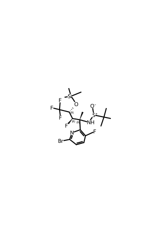 CC(C)(C)[S+]([O-])N[C@](C)(c1nc(Br)ccc1F)[C@@H](F)[C@@H](O[Si](C)(C)C)C(F)(F)F